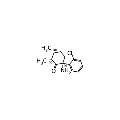 C[C@@H]1CC[C@@](N)(c2ccccc2Cl)C(=O)[C@@H]1C